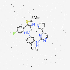 CSc1nc(CNc2ccc(C)c(Nc3nccc(-c4cccnc4)n3)c2)c(-c2ccc(F)cc2)s1